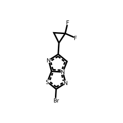 FC1(F)CC1c1cn2nc(Br)sc2n1